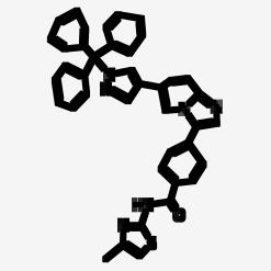 Cc1csc(NC(=O)c2ccc(-c3cnc4ccc(-c5cnn(C(c6ccccc6)(c6ccccc6)c6ccccc6)c5)cn34)cc2)n1